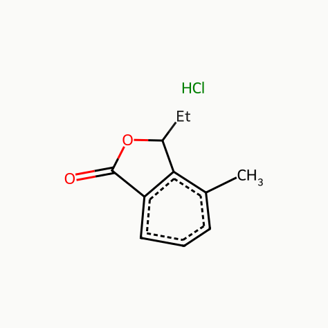 CCC1OC(=O)c2cccc(C)c21.Cl